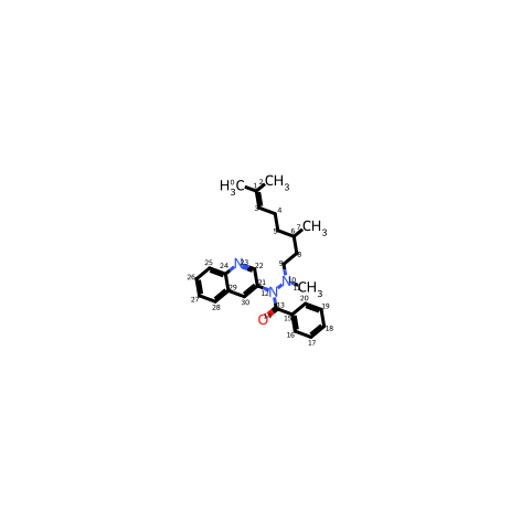 CC(C)=CCCC(C)CCN(C)N(C(=O)c1ccccc1)c1cnc2ccccc2c1